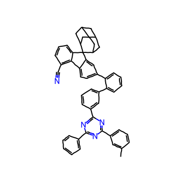 Cc1cccc(-c2nc(-c3ccccc3)nc(-c3cccc(-c4ccccc4-c4ccc5c(c4)C4(c6cccc(C#N)c6-5)C5CC6CC(C5)CC4C6)c3)n2)c1